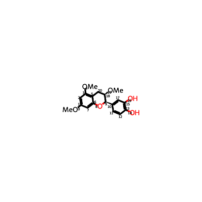 COc1cc(OC)c2c(c1)O[C@H](c1ccc(O)c(O)c1)[C@H](OC)C2